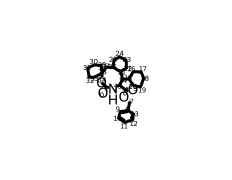 O=C1NC(C(=O)OCc2ccccc2)C(C2CCCCC2)C2CCCCC2CC2(CCCCC2)O1